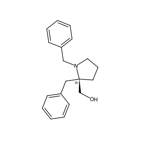 OC[C@]1(Cc2ccccc2)CCCN1Cc1ccccc1